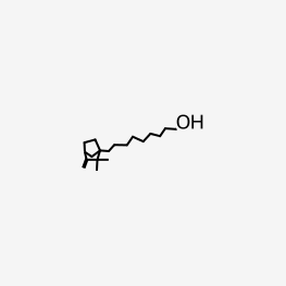 C=C1C2CCC(CCCCCCCCCO)(C2)C1(C)C